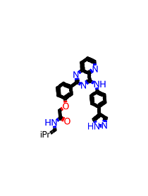 CC(C)CNC(=O)COc1cccc(-c2nc(Nc3ccc(-c4cn[nH]c4)cc3)c3ncccc3n2)c1